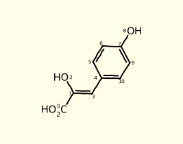 O=C(O)C(O)=Cc1ccc(O)cc1